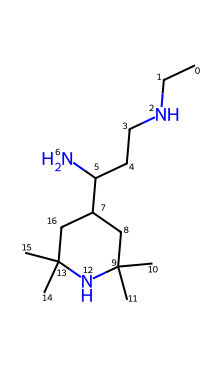 CCNCCC(N)C1CC(C)(C)NC(C)(C)C1